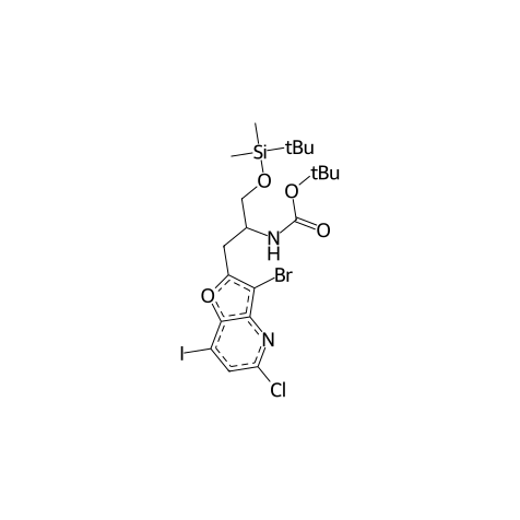 CC(C)(C)OC(=O)NC(CO[Si](C)(C)C(C)(C)C)Cc1oc2c(I)cc(Cl)nc2c1Br